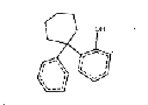 Oc1ccccc1C1(c2ccccc2)CCCCC1